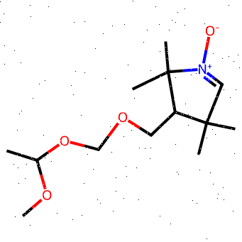 COC(C)OCOCC1C(C)(C)C=[N+]([O-])C1(C)C